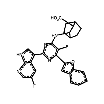 O=C(O)C1C2CCC(CC2)C1Nc1nc(-c2c[nH]c3ncc(F)cc23)nc(-c2cc3ccccc3o2)c1F